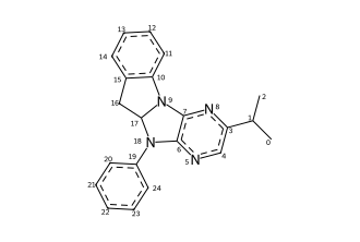 CC(C)c1cnc2c(n1)N1c3ccccc3CC1N2c1ccccc1